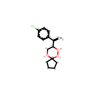 C=C(c1ccc(F)cc1)C1COC2(CCCC2)OO1